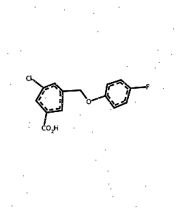 O=C(O)c1cc(Cl)cc(COc2ccc(F)cc2)c1